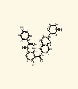 O=C(Nc1ccc(F)c(C(=O)c2ccc3nc(C4CNCCO4)cnc3c2)c1F)c1ccc(F)cc1